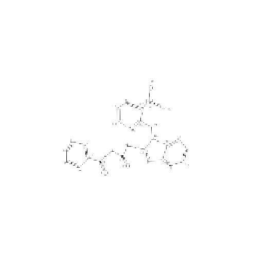 O=C(CC(=O)c1ccccc1)CC1=Cc2ccccc2C1Cc1ccccc1[N+](=O)[O-]